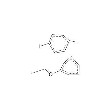 CCOc1ccccc1.Cc1ccc(I)cc1